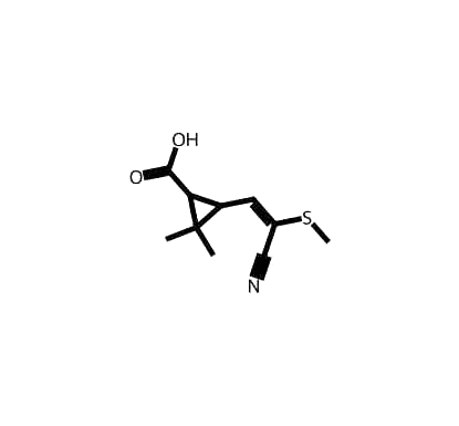 CS/C(C#N)=C/C1C(C(=O)O)C1(C)C